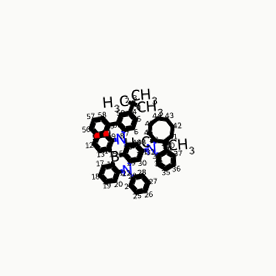 CC(C)(C)c1ccc(N2c3ccccc3B3c4ccccc4N(c4ccccc4)c4cc(N5c6ccccc6C6(C)CCCCCCC56C)cc2c43)c(-c2ccccc2)c1